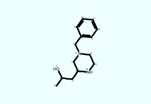 CC(O)CC1CN(Cc2ccccc2)CCN1